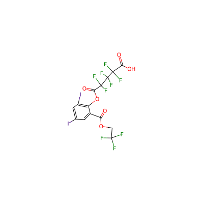 O=C(OCC(F)(F)F)c1cc(I)cc(I)c1OC(=O)C(F)(F)C(F)(F)C(F)(F)C(=O)O